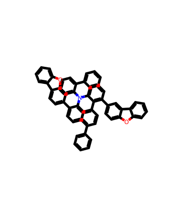 c1ccc(-c2ccc(-c3c(-c4ccc5oc6ccccc6c5c4)cccc3N(c3ccccc3-c3ccccc3)c3ccccc3-c3ccc4c(c3)oc3ccccc34)cc2)cc1